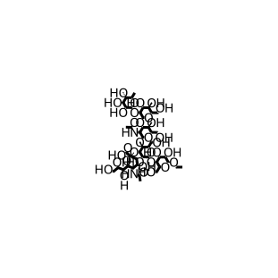 CCO[C@@H]1OC(CO)[C@@H](O[C@@H]2OC(CO)[C@H](O[C@H]3OC(CO)[C@H](O)C(O[C@@H]4OC(CO)[C@H](O)C(O)C4O[C@@H]4OC(C)[C@@H](O)[C@H](O)C4O)C3NC(C)=O)C(O[C@]3(C(=O)O)C[C@@H](O)[C@@H](NC(C)=O)C([C@H](O)[C@H](O)CO)O3)C2O)C(O)C1O